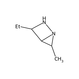 CCC1NN2C(C)C12